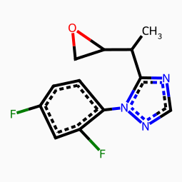 CC(c1ncnn1-c1ccc(F)cc1F)C1CO1